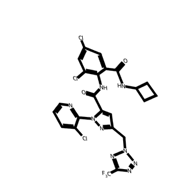 O=C(NC1CCC1)c1cc(Cl)cc(Cl)c1NC(=O)c1cc(Cn2nnc(C(F)(F)F)n2)nn1-c1ncccc1Cl